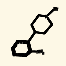 CC(C)N1CCC(c2ccccc2N)CC1